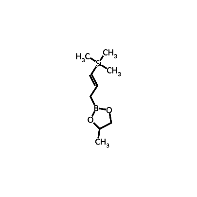 CC1COB(C/C=C/[Si](C)(C)C)O1